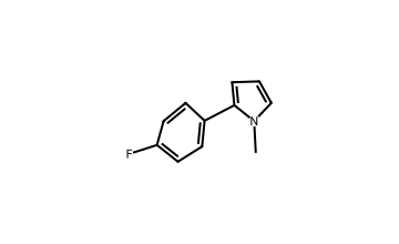 Cn1cccc1-c1ccc(F)cc1